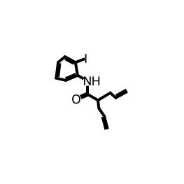 C=CCC(CC=C)C(=O)Nc1ccccc1I